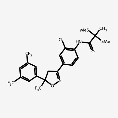 CSC(C)(SC)C(=O)Nc1ccc(C2=NOC(c3cc(C(F)(F)F)cc(C(F)(F)F)c3)(C(F)(F)F)C2)cc1Cl